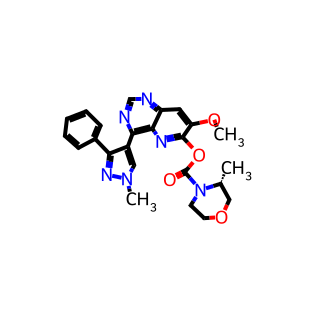 COc1cc2ncnc(-c3cn(C)nc3-c3ccccc3)c2nc1OC(=O)N1CCOC[C@H]1C